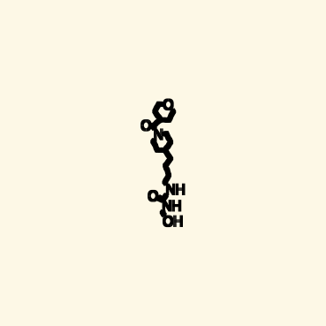 O=C(NCO)NCCCCC1CCN(C(=O)C2CCOCC2)CC1